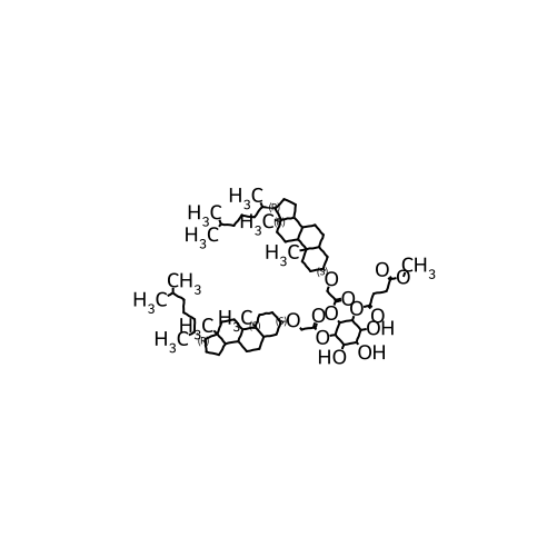 COC(=O)CCC(=O)OC1C(O)C(O)C(O)C(OC(=O)CO[C@H]2CC[C@@]3(C)C(CCC4C5CC[C@H](C(C)CCCC(C)C)C5(C)CCC43)C2)C1OC(=O)CO[C@H]1CCC2(C)C(CCC3C2CC[C@@]2(C)C3CC[C@@H]2C(C)CCCC(C)C)C1